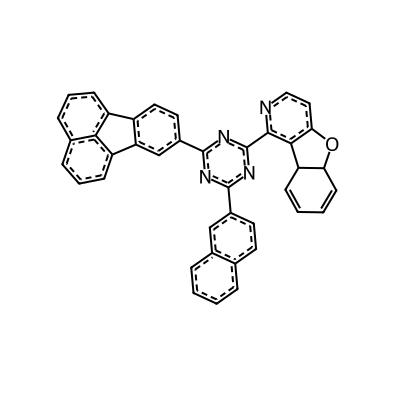 C1=CC2Oc3ccnc(-c4nc(-c5ccc6c(c5)-c5cccc7cccc-6c57)nc(-c5ccc6ccccc6c5)n4)c3C2C=C1